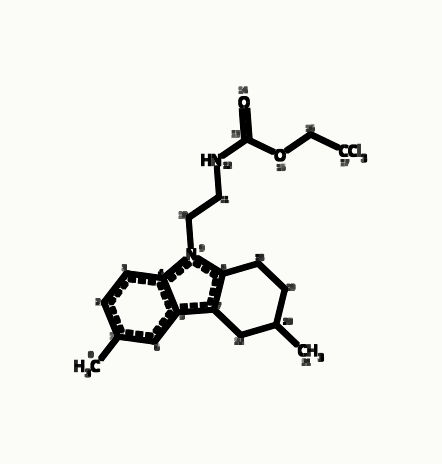 Cc1ccc2c(c1)c1c(n2CCNC(=O)OCC(Cl)(Cl)Cl)CCC(C)C1